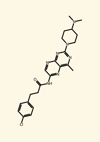 Cc1nc(N2CCC(N(C)C)CC2)nc2ncc(NC(=O)CCc3ccc(Cl)cc3)nc12